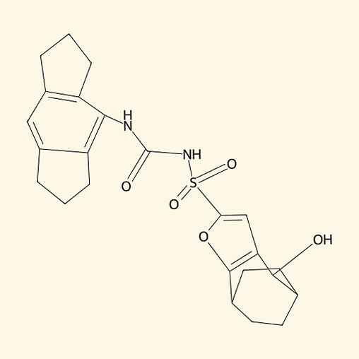 O=C(Nc1c2c(cc3c1CCC3)CCC2)NS(=O)(=O)c1cc2c(o1)C1CCC(CC1)C2O